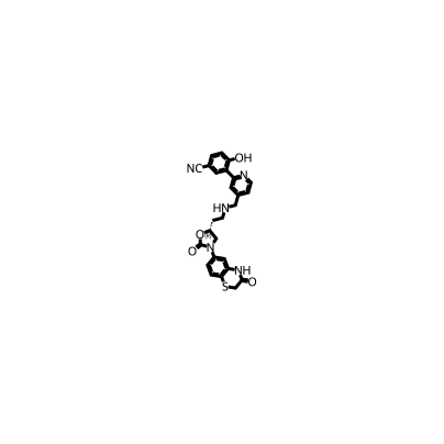 N#Cc1ccc(O)c(-c2cc(CNCC[C@@H]3CN(c4ccc5c(c4)NC(=O)CS5)C(=O)O3)ccn2)c1